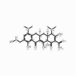 CC(C)NCc1cc(N(C)C)c2c(c1O)C(=O)C1=C(O)[C@]3(O)C(=O)C(C(N)=O)=C(O)C(N(C)C)[C@H]3C[C@@H]1C2